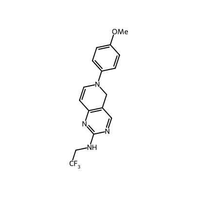 COc1ccc(N2C=Cc3nc(NCC(F)(F)F)ncc3C2)cc1